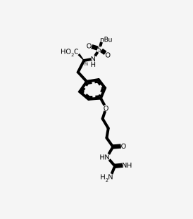 CCCCS(=O)(=O)N[C@@H](Cc1ccc(OCCCC(=O)NC(=N)N)cc1)C(=O)O